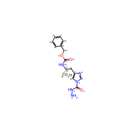 NNC(=O)n1cnc(C[C@@H](NC(=O)OCc2ccccc2)C(=O)O)c1